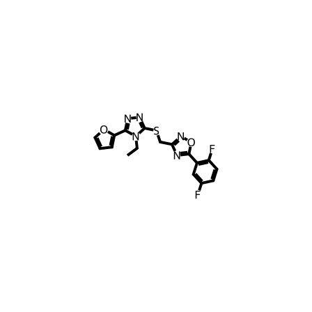 CCn1c(SCc2noc(-c3cc(F)ccc3F)n2)nnc1-c1ccco1